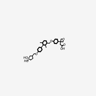 Cc1ccc(COc2ccc(C3(CC(=O)O)COC3)cc2)c(C)c1-c1ccc(OCC2CCS(O)(O)C2)cc1